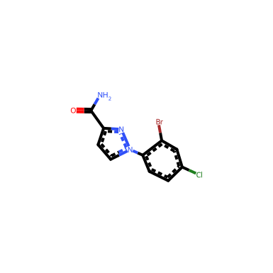 NC(=O)c1ccn(-c2ccc(Cl)cc2Br)n1